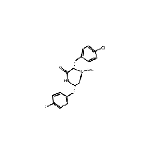 CSN1C[C@H](Cc2ccc(Cl)cc2)NC(=O)[C@@H]1Cc1ccc(Cl)cc1